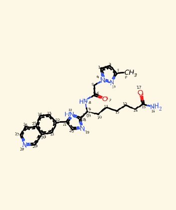 Cc1ccn(CC(=O)N[C@@H](CCCCCC(N)=O)c2ncc(-c3ccc4ccncc4c3)[nH]2)n1